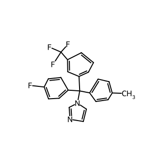 Cc1ccc(C(c2ccc(F)cc2)(c2cccc(C(F)(F)F)c2)n2ccnc2)cc1